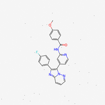 COc1ccc(C(=O)Nc2cc(-c3c(-c4ccc(F)cc4)nc4cccnn34)ccn2)cc1